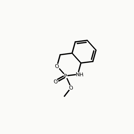 COP1(=O)NC2C=CC=CC2CO1